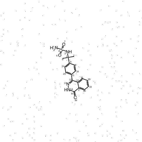 CC(C)(NS(N)(=O)=O)c1ccc(-c2n[nH]c(=O)c3ccccc23)cc1